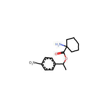 CC(OC(=O)C1(N)CCCCC1)c1ccc([N+](=O)[O-])cc1